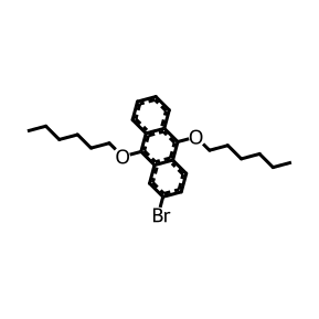 CCCCCCOc1c2ccccc2c(OCCCCCC)c2cc(Br)ccc12